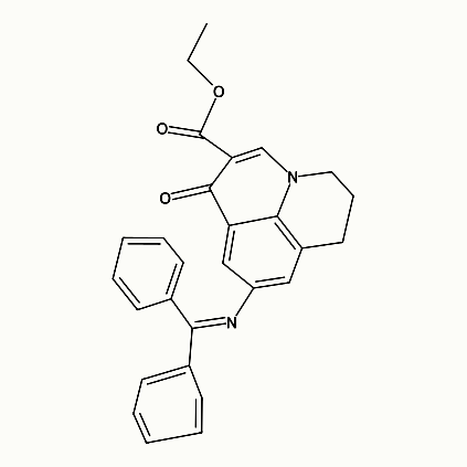 CCOC(=O)c1cn2c3c(cc(N=C(c4ccccc4)c4ccccc4)cc3c1=O)CCC2